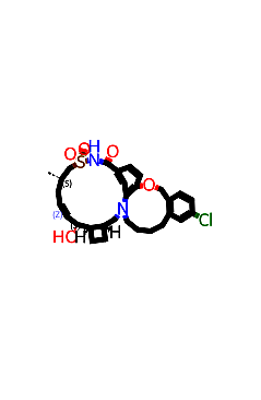 C[C@H]1C/C=C\[C@@H](O)[C@@H]2CC[C@H]2CN2CCCCc3cc(Cl)ccc3COc3ccc(cc32)C(=O)NS(=O)(=O)C1